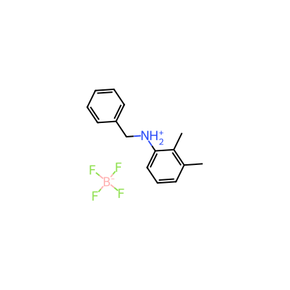 Cc1cccc([NH2+]Cc2ccccc2)c1C.F[B-](F)(F)F